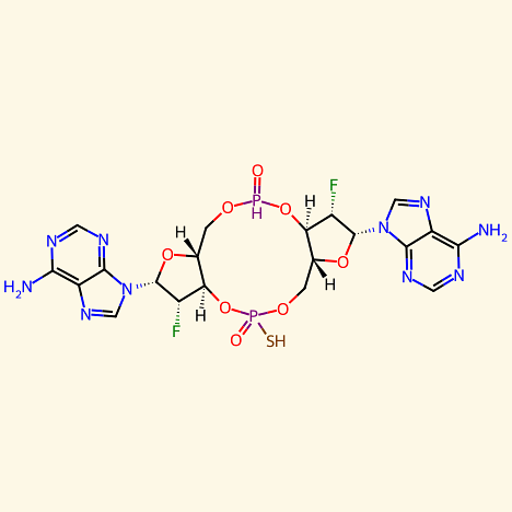 Nc1ncnc2c1ncn2[C@@H]1O[C@@H]2COP(=O)(S)O[C@H]3[C@H](F)[C@H](n4cnc5c(N)ncnc54)O[C@@H]3CO[PH](=O)O[C@H]2[C@@H]1F